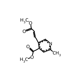 COC(=O)/C=C/c1cnc(C)cc1C(=O)OC